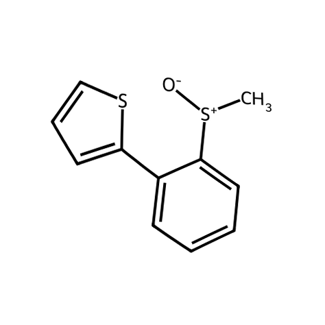 C[S+]([O-])c1ccccc1-c1cccs1